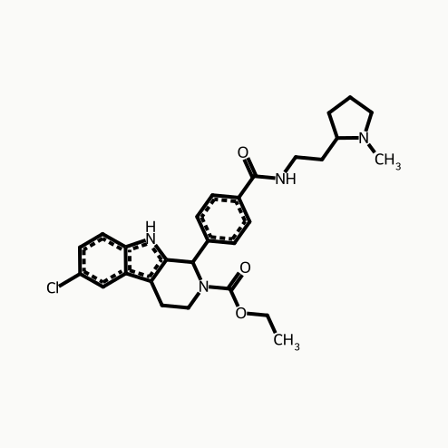 CCOC(=O)N1CCc2c([nH]c3ccc(Cl)cc23)C1c1ccc(C(=O)NCCC2CCCN2C)cc1